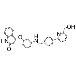 O=c1cc(Oc2cccc(NCc3ccc(-c4cccc(CO)n4)cc3)c2)c2ccccc2[nH]1